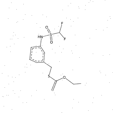 C=C(OCC)SCc1cccc(NS(=O)(=O)C(F)F)c1